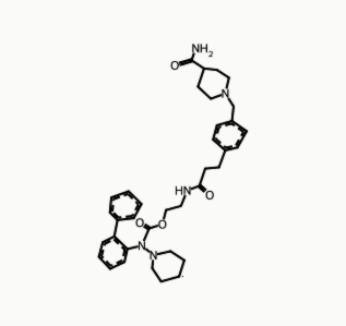 NC(=O)C1CCN(Cc2ccc(CCC(=O)NCCOC(=O)N(c3ccccc3-c3ccccc3)N3CC[CH]CC3)cc2)CC1